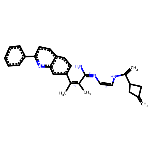 C=C1CC(C(=C)N\C=C/N=C(N)\C(C)=C(\C)c2ccc3ccc(-c4ccccc4)nc3c2)C1